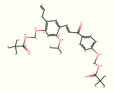 C=CCc1cc(/C=C/C(=O)c2ccc(OCOC(=O)C(C)(C)C)cc2)c(OC(C)C)cc1OCOC(=O)C(C)(C)C